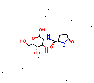 O=C1CC[C@@H](C(=O)N[C@H]2C(O)O[C@H](CO)[C@@H](O)[C@@H]2O)N1